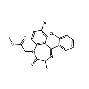 COC(=O)CN1C(=S)C(C)N=C(c2ccccc2Cl)c2cc(Br)ccc21